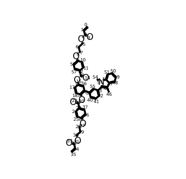 C=CC(=O)OCCCOc1ccc(C(=O)Oc2ccc(OC(=O)c3ccc(OCCCOC(=O)C=C)cc3)c(-c3cccc(-c4c(C)c5ccccc5n4C)c3)c2)cc1